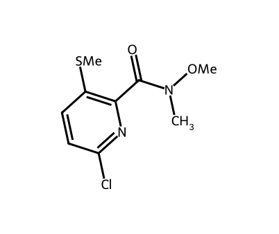 CON(C)C(=O)c1nc(Cl)ccc1SC